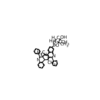 CC1=c2c(-c3ccccc3)nc3cc(BOC(C)(C)C(C)(C)O)ccc3c2=C(C)C2(C)C(c3ccccc3)=Nc3ccccc3C12